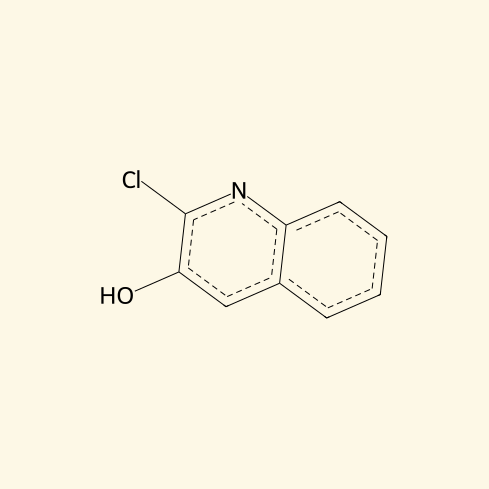 Oc1cc2ccccc2nc1Cl